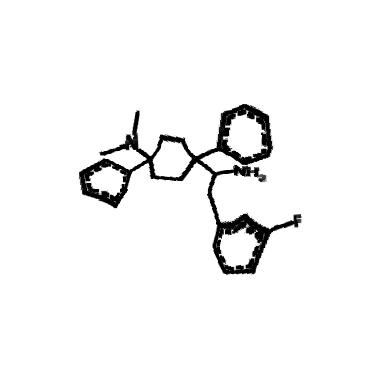 CN(C)C1(c2ccccc2)CCC(c2ccccc2)(C(N)Cc2cccc(F)c2)CC1